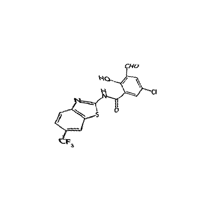 O=Cc1cc(Cl)cc(C(=O)Nc2nc3ccc(C(F)(F)F)cc3s2)c1O